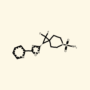 NS(=O)(=O)N1CCC2(CC1)[C@H](c1noc(-c3ccccn3)n1)C2(F)F